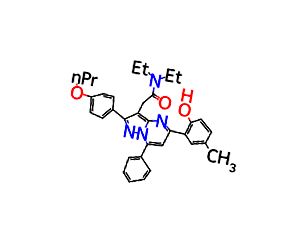 CCCOc1ccc(-c2nn3c(-c4ccccc4)cc(-c4cc(C)ccc4O)nc3c2CC(=O)N(CC)CC)cc1